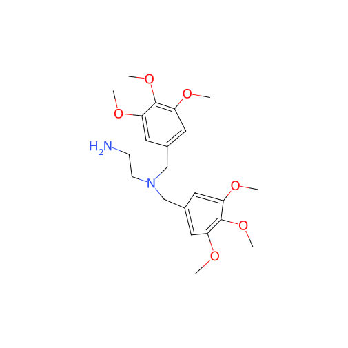 COc1cc(CN(CCN)Cc2cc(OC)c(OC)c(OC)c2)cc(OC)c1OC